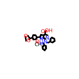 COc1cc(C2COCCO2)ccc1-c1cc2c(C(=O)O)cnc(N(Cc3ccccc3)Cc3ccccc3)c2[nH]1